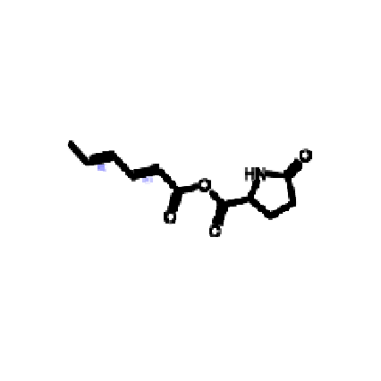 C/C=C/C=C/C(=O)OC(=O)C1CCC(=O)N1